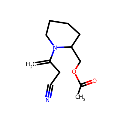 C=C(CC#N)N1CCCCC1COC(C)=O